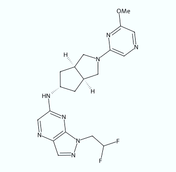 COc1cncc(N2C[C@H]3C[C@H](Nc4cnc5cnn(CC(F)F)c5n4)C[C@H]3C2)n1